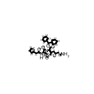 NN=CC(=O)CC1=C(C(=O)OC(c2ccccc2)c2ccccc2)N2C(=O)C(NC(=O)Cc3cccs3)[C@@H]2[S+]([O-])C1